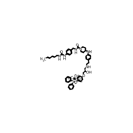 CCCCCCNC(=O)Nc1ccc(CNC(=O)N2CCC(Nc3ccc(CCNCC(O)COc4ccc(O[Si](c5ccccc5)(c5ccccc5)C(C)(C)C)cc4)cc3)CC2)cc1